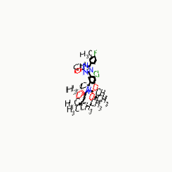 COc1nc(-c2ccc(F)c(C)c2)nc(-c2cc(C(C)N(C(=O)CC(C)(C)C)C(=O)OC(C)(C)C)ccc2Cl)n1